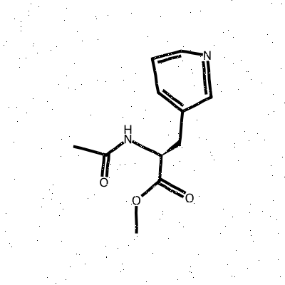 COC(=O)[C@H](Cc1cccnc1)NC(C)=O